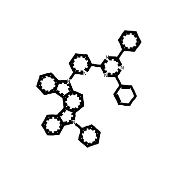 C1=CC(c2nc(-c3ccccc3)nc(-c3cccc(-n4c5ccccc5c5c6c7ccccc7n(-c7ccccc7)c6ccc54)n3)n2)=CCC1